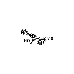 COc1ccc2nccc(CCC[C@@H]3CCN(CCCCc4cccnn4)C[C@@H]3CC(=O)O)c2c1